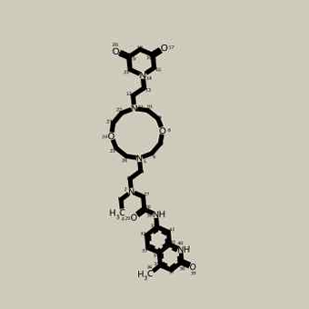 CCN(CCN1CCOCCN(CCN2CC(=O)CC(=O)C2)CCOCC1)CC(=O)Nc1ccc2c(C)cc(=O)[nH]c2c1